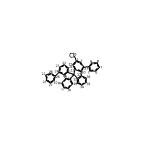 Clc1cc(-c2ccccc2)c2c(c1)C(c1ccccc1)(c1cccc(-c3ccccc3)c1)c1ccccc1-2